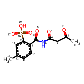 CC(=O)CC(=O)NC(=O)c1ccc(C)cc1S(=O)(=O)O